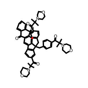 CC(C)(C(=O)c1ccc(CC2(Cc3ccc(C(=O)C(C)(C)N4CCOCC4)cc3)c3cc(C(=O)C(C)(C)N4CCOCC4)ccc3-c3cc4c(cc32)C(=O)c2ccccc2C4=O)cc1)N1CCOCC1